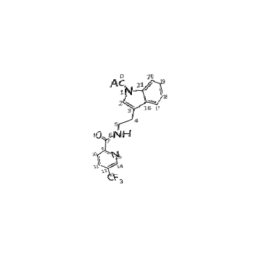 CC(=O)n1cc(CCNC(=O)c2ccc(C(F)(F)F)cn2)c2ccccc21